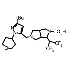 CC(C)(C)c1cc(CN2CC3CN(C(=O)O)C(C(C(F)(F)F)C(F)(F)F)C3C2)n(C2CCOCC2)n1